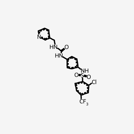 O=C(NCc1cccnc1)Nc1ccc(NS(=O)(=O)c2ccc(C(F)(F)F)cc2Cl)cc1